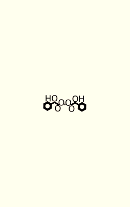 O=C(OCOC(=O)C(O)c1ccccc1)C(O)c1ccccc1